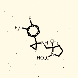 C[C@@]1(CNC2(c3ccc(F)c(C(F)(F)F)c3)CC2)CCCN1C(=O)O